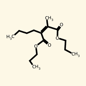 CCCC/C(C(=O)OCCC)=C(\C)C(=O)OCCC